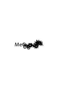 COC(=O)C[C@@H]1COc2cc(NCc3cccc(-n4c(C)nc5ccc(C)cc54)c3C)ccc21